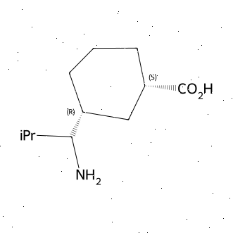 CC(C)C(N)[C@@H]1CCC[C@H](C(=O)O)C1